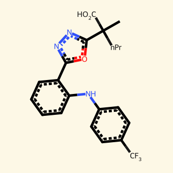 CCCC(C)(C(=O)O)c1nnc(-c2ccccc2Nc2ccc(C(F)(F)F)cc2)o1